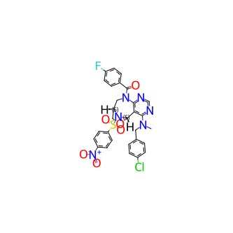 CN(Cc1ccc(Cl)cc1)c1ncnc2c1[C@@H]1OC[C@H](CN2C(=O)c2ccc(F)cc2)N1S(=O)(=O)c1ccc([N+](=O)[O-])cc1